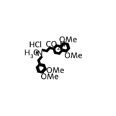 COc1ccc(CCN(C)CCC(C(=O)O)C2CCc3c(OC)ccc(OC)c3C2)cc1OC.Cl